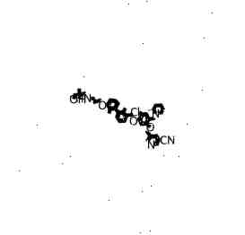 Cc1c(COc2cc(OCc3cncc(C#N)c3)c(CN3CCCC[C@H]3C)cc2Cl)cccc1-c1cccc(OCCCNCC(C)(C)CO)c1C